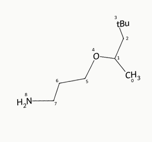 CC(CC(C)(C)C)OCCCN